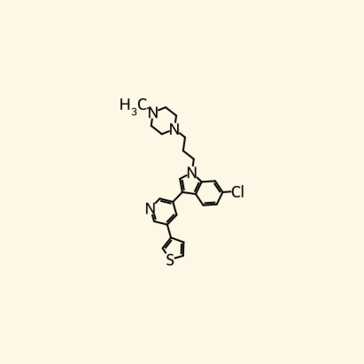 CN1CCN(CCCn2cc(-c3cncc(-c4ccsc4)c3)c3ccc(Cl)cc32)CC1